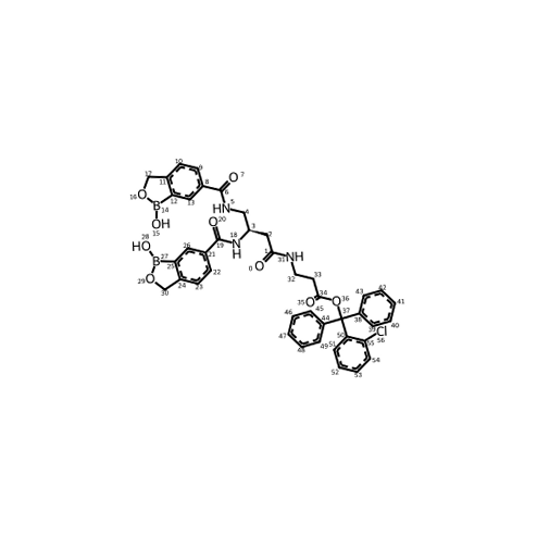 O=C(C[C@H](CNC(=O)c1ccc2c(c1)B(O)OC2)NC(=O)c1ccc2c(c1)B(O)OC2)NCCC(=O)OC(c1ccccc1)(c1ccccc1)c1ccccc1Cl